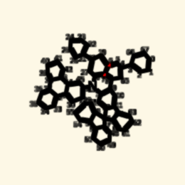 c1ccc(-c2cccc(-c3cc4c(cc3N(c3cccc(-c5ccccc5)c3)c3ccc5c6ccccc6c6ccccc6c5c3)C3(c5ccccc5-c5ccccc53)c3ccccc3-4)c2)cc1